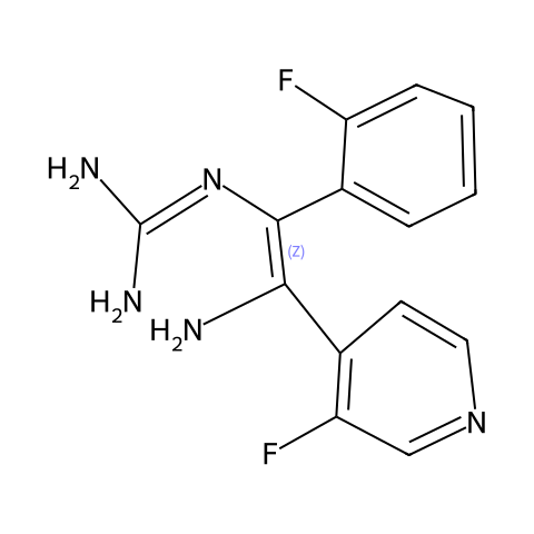 NC(N)=N/C(=C(\N)c1ccncc1F)c1ccccc1F